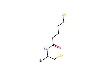 CCC(CS)NC(=O)CCCCS